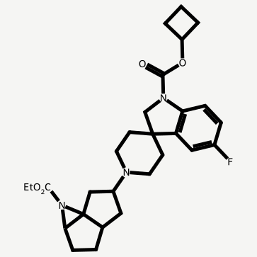 CCOC(=O)N1C2CCC3CC(N4CCC5(CC4)CN(C(=O)OC4CCC4)c4ccc(F)cc45)CC321